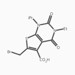 CCn1c(=O)c2c(C(=O)O)c(CBr)sc2n(C(C)C)c1=O